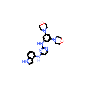 c1cc(Nc2ccnc(Nc3cc(N4CCOCC4)cc(N4CCOCC4)c3)n2)c2cc[nH]c2c1